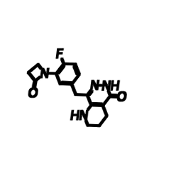 O=C1CCN1c1cc(Cc2n[nH]c(=O)c3c2NCCC3)ccc1F